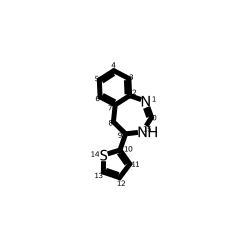 C1=Nc2ccccc2CC(c2cccs2)N1